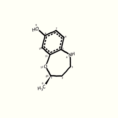 C[C@@H]1CCNc2ccc(O)cc2O1